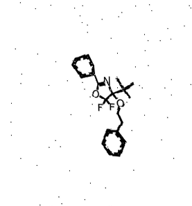 CC(C)(C)C1(OCCc2ccccc2)N=C(c2ccccc2)OC1(F)F